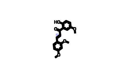 COc1ccc(/C=C/C(=O)c2cc(OC)ccc2O)c(OC)c1